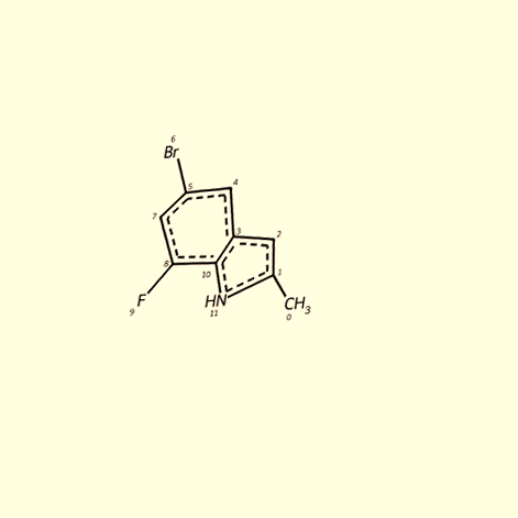 Cc1cc2cc(Br)cc(F)c2[nH]1